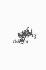 CN1CCC[C@H]1[C@@H](Oc1cc(O[C@H]2CCN(C(=O)OC(C)(C)C)[C@H](CC#N)C2)nc(-c2noc(C(C)(C)c3c(F)cccc3F)n2)n1)C(F)(F)F